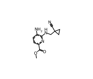 COC(=O)c1ccc(N)c(NCC2(C#N)CC2)n1